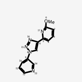 COc1cccc(-c2cn(-c3cccnc3)nn2)n1